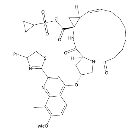 COc1ccc2c(O[C@@H]3C[C@H]4C(=O)N[C@]5(C(=O)NS(=O)(=O)C6CC6)C[C@H]5/C=C\CCCCCCC(=O)N4C3)cc(C3=NC(C(C)C)CS3)nc2c1C